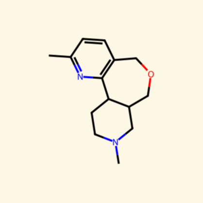 Cc1ccc2c(n1)C1CCN(C)CC1COC2